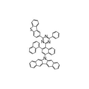 c1ccc(-c2nc(-c3ccc4sc5ccccc5c4c3)nc(-c3c(-c4cccc5ccccc45)cc(-n4c5cc6ccccc6cc5c5cc6ccccc6cc54)c4ccccc34)n2)cc1